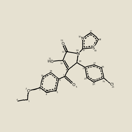 CCOc1ccc(C(=O)C2=C(O)C(=O)N(c3nccs3)C2c2ccc(Cl)cc2)cc1